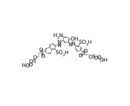 Nc1cc(O)c(/N=N/c2ccc(S(=O)(=O)CCOSOOO)cc2S(=O)(=O)O)cc1/N=N/c1ccc2cc(S(=O)(=O)CCOSOOO)ccc2c1S(=O)(=O)O